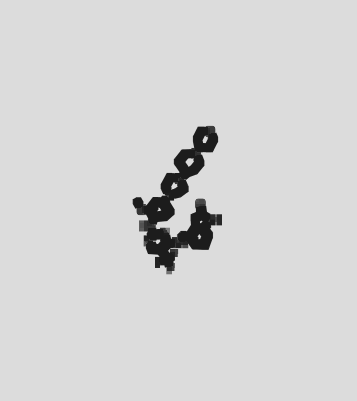 COc1cc(N2CCN(C3CCN(C4CCOCC4)CC3)CC2)ccc1Nc1ncc(C(F)(F)F)c(NCc2cccc3c2CC(=O)N3)n1